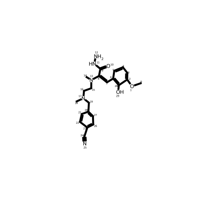 COc1cccc(/C=C(\C(=O)NN)N(C)CCN(C)Cc2ccc(C#N)cc2)c1O